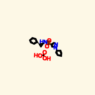 O=C(O)O.O=S(=O)(N[C@H]1C[C@@H]1c1ccccc1)c1cnn(-c2ccccc2)c1